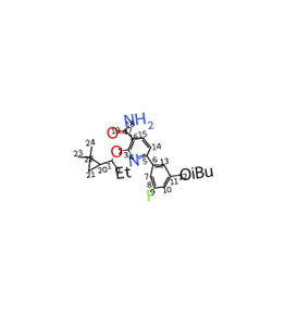 CCC(Oc1nc(-c2cc(F)cc(OCC(C)C)c2)ccc1C(N)=O)C1CC1(C)C